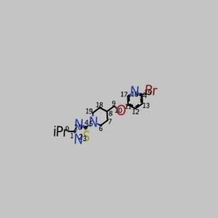 CC(C)c1nsc(N2CCC(COc3ccc(Br)nc3)CC2)n1